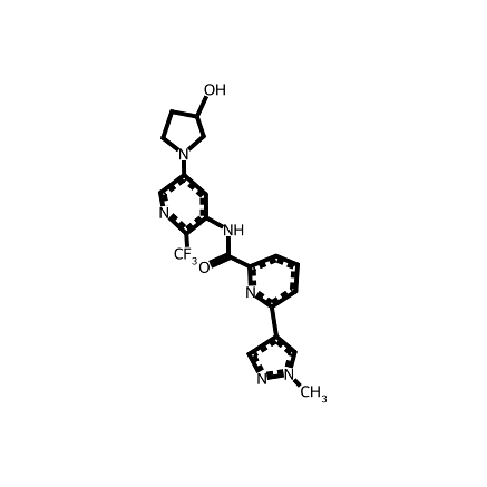 Cn1cc(-c2cccc(C(=O)Nc3cc(N4CCC(O)C4)cnc3C(F)(F)F)n2)cn1